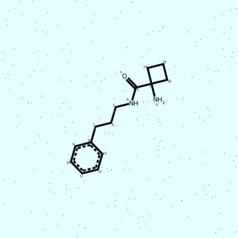 NC1(C(=O)NCCCc2ccccc2)CCC1